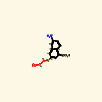 Nc1ccc2c(S(=O)(=O)O)cc(SOOO)cc2c1